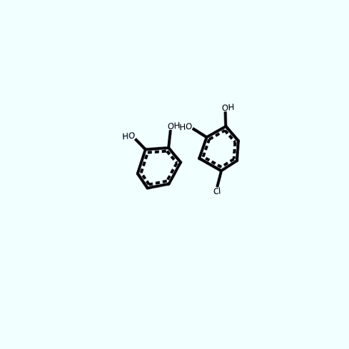 Oc1ccc(Cl)cc1O.Oc1ccccc1O